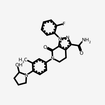 Cc1cc(N2CCc3c(C(N)=O)nn(-c4ccccc4F)c3C2=O)ccc1N1CCCC1O